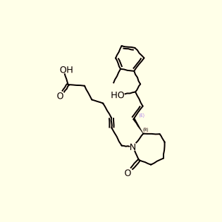 Cc1ccccc1CC(O)/C=C/[C@H]1CCCCC(=O)N1CC#CCCCC(=O)O